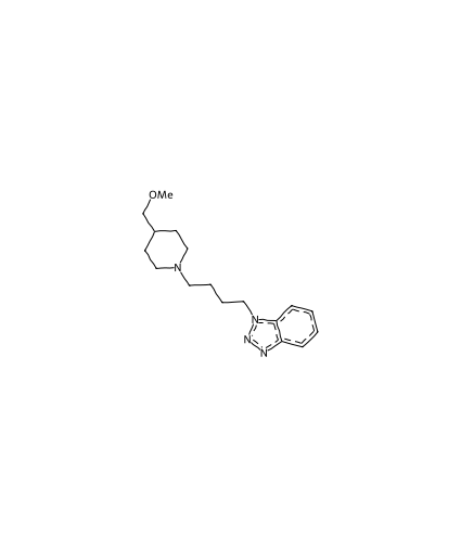 COCC1CCN(CCCCn2nnc3ccccc32)CC1